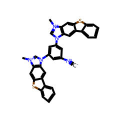 [C-]#[N+]c1cc(-n2c[n+](C)c3cc4sc5ccccc5c4cc32)cc(-n2c[n+](C)c3cc4sc5ccccc5c4cc32)c1